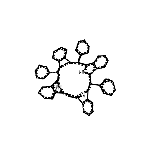 c1ccc(-c2c3nc(c(-c4ccccc4)c4[nH]c(c(-c5ccccc5)c5nc(cc6[nH]c2c2ccccc62)-c2ccccc2-5)c2ccccc42)-c2ccccc2-3)cc1